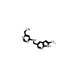 N#CCc1cc(NCc2cnc3[nH]c(C(F)(F)F)cc3c2)ncn1